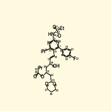 CCS(=O)(=O)Nc1nc(-c2ccc(F)cc2)c(C=CC(O)CC(CC2OCCCO2)OC(=O)C(C)C)c(C(C)C)n1